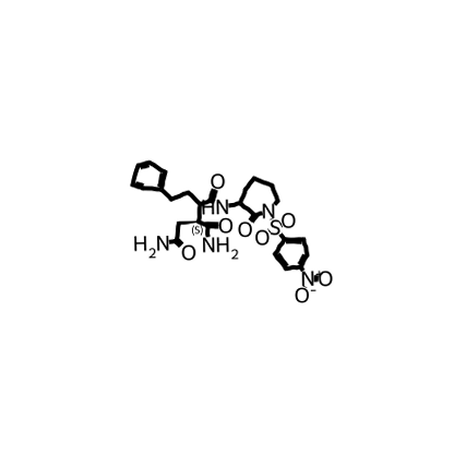 NC(=O)C[C@H](C(N)=O)C(CCc1ccccc1)C(=O)NC1CCCCN(S(=O)(=O)c2ccc([N+](=O)[O-])cc2)C1=O